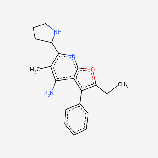 CCc1oc2nc(C3CCCN3)c(C)c(N)c2c1-c1ccccc1